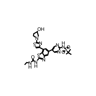 CCNC(=O)Nc1nc2cc(-c3cnc(NS(=O)(=O)C(C)(C)C)nc3)cc(-c3csc(N4CCC(O)C4)n3)c2s1